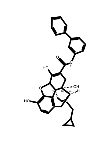 O=C(Nc1cccc(-c2ccccc2)c1)C1=C(O)C2Oc3c(O)ccc4c3[C@@]23CCN(CC2CC2)[C@H](C4)[C@]3(O)C1